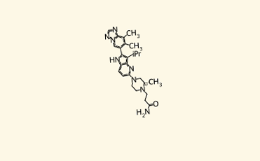 Cc1c(-c2[nH]c3ccc(N4CCN(CCC(N)=O)[C@@H](C)C4)nc3c2C(C)C)cn2ncnc2c1C